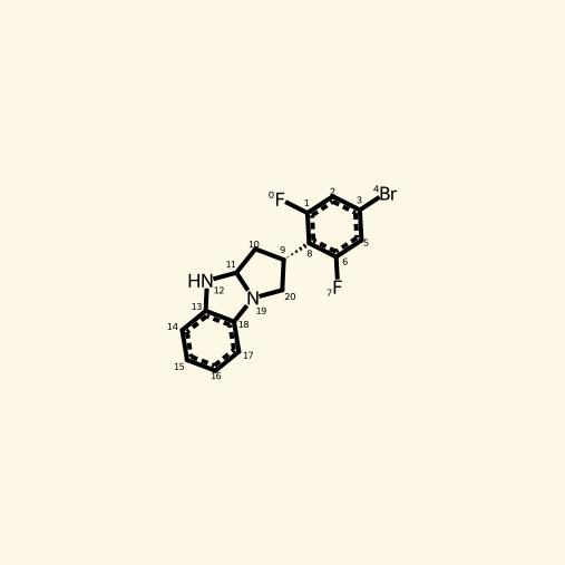 Fc1cc(Br)cc(F)c1[C@H]1CC2Nc3ccccc3N2C1